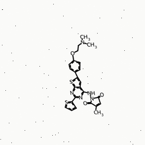 CC1=CC(=O)N(Nc2nc(-c3cccs3)nc3sc(-c4ccc(OCCN(C)C)cc4)cc23)C1=O